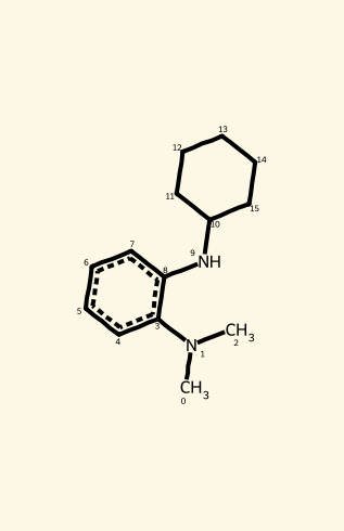 CN(C)c1ccccc1NC1CCCCC1